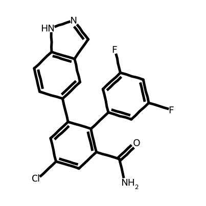 NC(=O)c1cc(Cl)cc(-c2ccc3[nH]ncc3c2)c1-c1cc(F)cc(F)c1